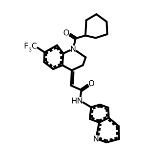 O=C(/C=C1\CCN(C(=O)C2CCCCC2)c2cc(C(F)(F)F)ccc21)Nc1ccc2cccnc2c1